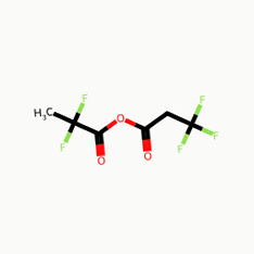 CC(F)(F)C(=O)OC(=O)CC(F)(F)F